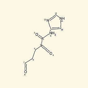 NC(=O)C(=O)CCC=O.c1c[nH]cn1